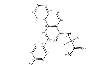 COC(=O)C(C)(C)NC(=O)c1ccc2ccccc2c1/C=C/c1ccc(C(C)C)cc1